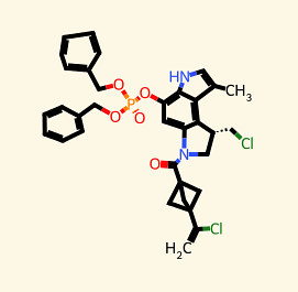 C=C(Cl)C12CC(C(=O)N3C[C@@H](CCl)c4c3cc(OP(=O)(OCc3ccccc3)OCc3ccccc3)c3[nH]cc(C)c43)(C1)C2